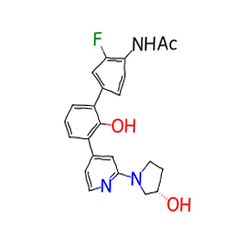 CC(=O)Nc1ccc(-c2cccc(-c3ccnc(N4CC[C@H](O)C4)c3)c2O)cc1F